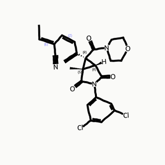 C=C(/C=C\C(C#N)=C/C)[C@]1(C(=O)N2CCOCC2)[C@@H]2C(=O)N(c3cc(Cl)cc(Cl)c3)C(=O)[C@@]21C